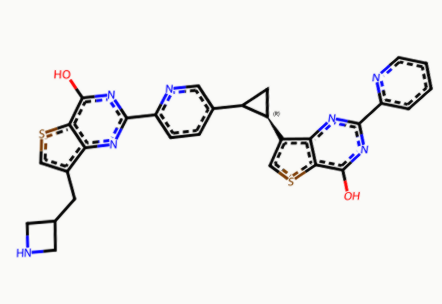 Oc1nc(-c2ccc(C3C[C@H]3c3csc4c(O)nc(-c5ccccn5)nc34)cn2)nc2c(CC3CNC3)csc12